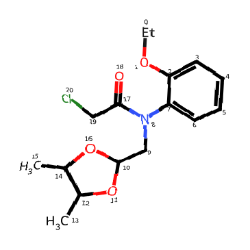 CCOc1ccccc1N(CC1OC(C)C(C)O1)C(=O)CCl